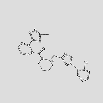 Cc1noc(-c2ccccc2C(=O)N2CCCC[C@H]2Cc2nnc(-c3ccccc3Cl)o2)n1